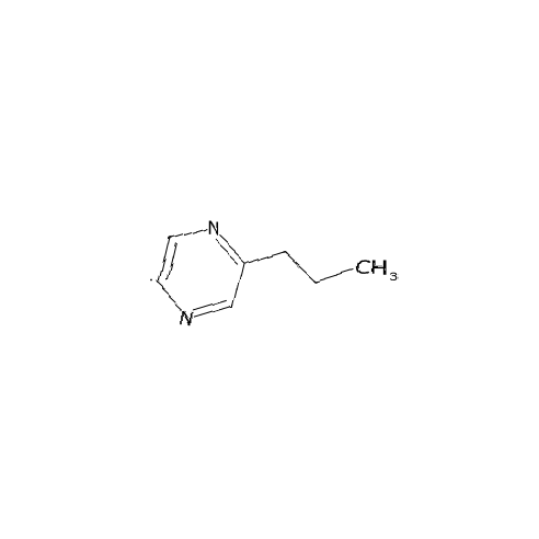 CCCc1cn[c]cn1